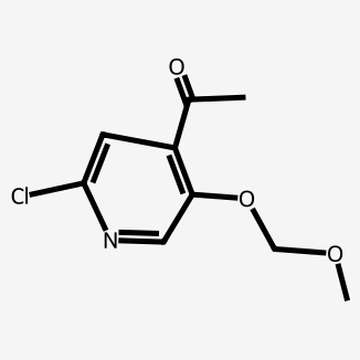 COCOc1cnc(Cl)cc1C(C)=O